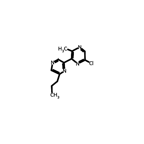 CCCc1cn[c]c(-c2nc(Cl)cnc2C)n1